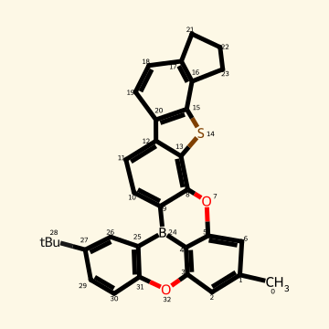 Cc1cc2c3c(c1)Oc1c(ccc4c1sc1c5c(ccc14)CCC5)B3c1cc(C(C)(C)C)ccc1O2